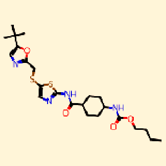 CCCCOC(=O)NC1CCC(C(=O)Nc2ncc(SCc3ncc(C(C)(C)C)o3)s2)CC1